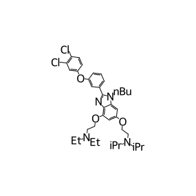 CCCCn1c(-c2cccc(Oc3ccc(Cl)c(Cl)c3)c2)nc2c(OCCN(CC)CC)cc(OCCN(C(C)C)C(C)C)cc21